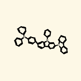 c1ccc(N(c2ccccc2)c2ccc(-c3ccc4c5ccc(-n6c7ccccc7c7ccccc76)cc5n(-c5ccccc5)c4c3)cc2)cc1